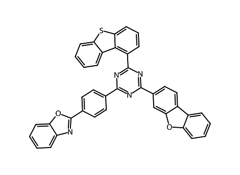 c1ccc2oc(-c3ccc(-c4nc(-c5ccc6c(c5)oc5ccccc56)nc(-c5cccc6sc7ccccc7c56)n4)cc3)nc2c1